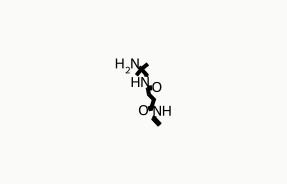 C=CNC(=O)CCC(=O)NCC(C)(C)N